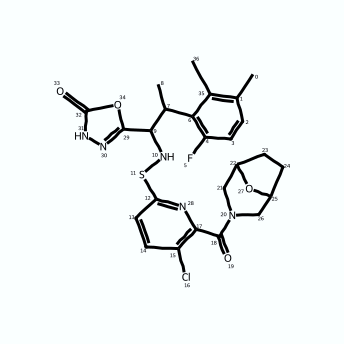 Cc1ccc(F)c(C(C)C(NSc2ccc(Cl)c(C(=O)N3CC4CCC(C3)O4)n2)c2n[nH]c(=O)o2)c1C